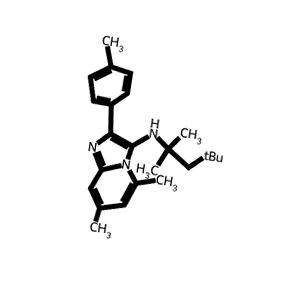 Cc1ccc(-c2nc3cc(C)cc(C)n3c2NC(C)(C)CC(C)(C)C)cc1